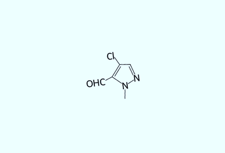 Cn1ncc(Cl)c1C=O